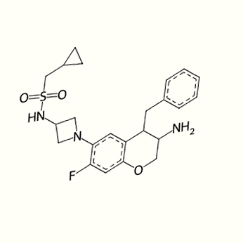 NC1COc2cc(F)c(N3CC(NS(=O)(=O)CC4CC4)C3)cc2C1Cc1ccccc1